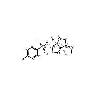 CO[C@@H]1CO[C@H]2[C@@H]1OC[C@@H]2OS(=O)(=O)c1ccc(C)cc1